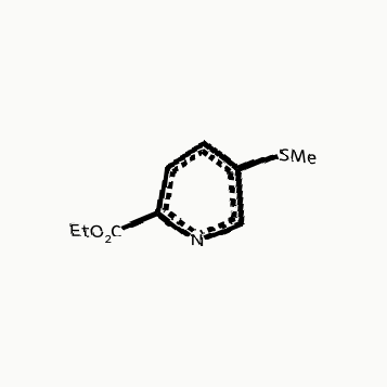 CCOC(=O)c1ccc(SC)cn1